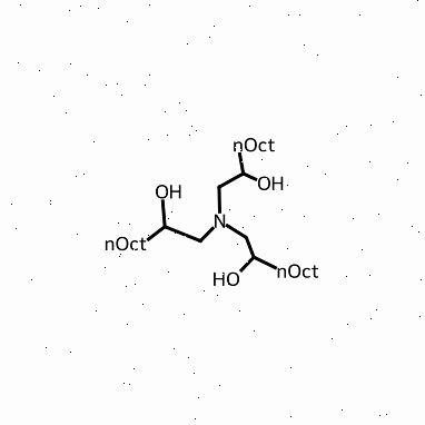 CCCCCCCCC(O)CN(CC(O)CCCCCCCC)CC(O)CCCCCCCC